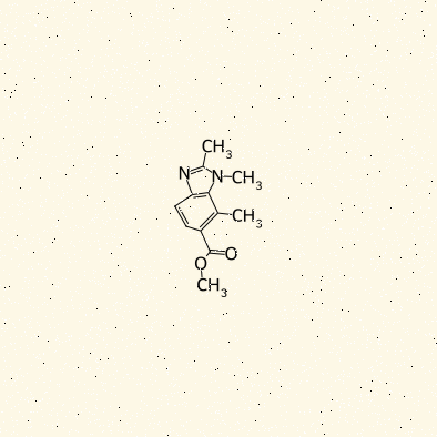 COC(=O)c1ccc2nc(C)n(C)c2c1C